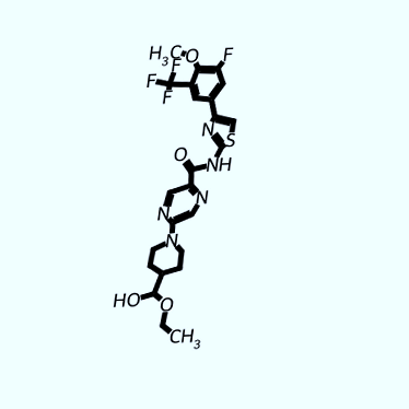 CCOC(O)C1CCN(c2cnc(C(=O)Nc3nc(-c4cc(F)c(OC)c(C(F)(F)F)c4)cs3)cn2)CC1